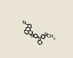 COc1ccc(N(c2ccccc2)c2ccc(C=Cc3c4cccc(C#N)c4cc4cccc(C#N)c34)cc2)cc1